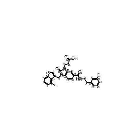 Cc1cccc2scc(Cn3c(=O)n(CCC(=O)O)c4cc(C(=O)NCCc5cccc(F)c5)ccc43)c12